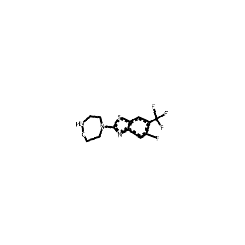 Fc1cc2nc(N3CCCNCC3)sc2cc1C(F)(F)F